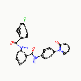 O=C(Nc1ccccc1C(=O)Nc1ccc(-n2ccccc2=O)cc1)c1ccc(Cl)cc1